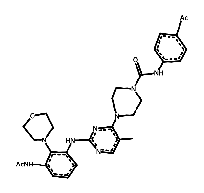 CC(=O)Nc1cccc(Nc2ncc(C)c(N3CCN(C(=O)Nc4ccc(C(C)=O)cc4)CC3)n2)c1N1CCOCC1